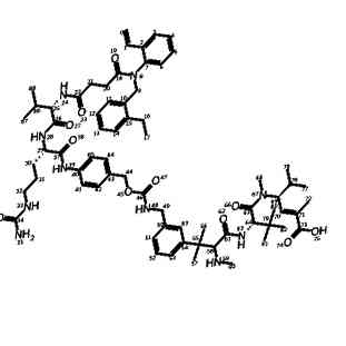 C=Cc1ccccc1N(Cc1ccccc1CC)C(=O)CCC(=O)N[C@H](C(=O)N[C@@H](CCCNC(N)=O)C(=O)Nc1ccc(COC(=O)NCc2cccc(C(C)(C)C(NC)C(=O)N[C@H](C(=O)N(C)[C@H](/C=C(\C)C(=O)O)C(C)C)C(C)(C)C)c2)cc1)C(C)C